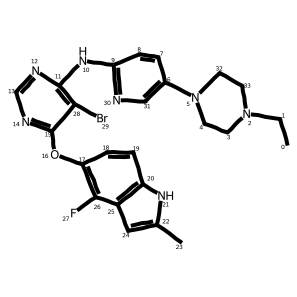 CCN1CCN(c2ccc(Nc3ncnc(Oc4ccc5[nH]c(C)cc5c4F)c3Br)nc2)CC1